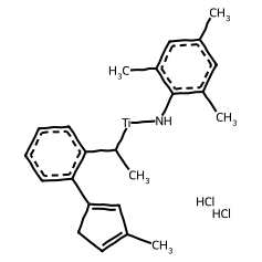 CC1=CCC(c2ccccc2[CH](C)[Ti][NH]c2c(C)cc(C)cc2C)=C1.Cl.Cl